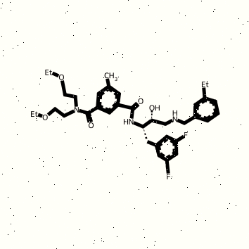 CCOCCN(CCOCC)C(=O)c1cc(C)cc(C(=O)N[C@@H](Cc2cc(F)cc(F)c2)[C@H](O)CNCc2cccc(CC)c2)c1